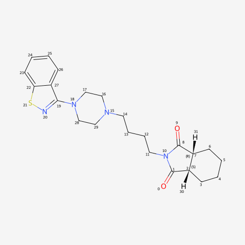 O=C1[C@H]2CCCC[C@H]2C(=O)N1CCCCN1CCN(c2nsc3ccccc23)CC1